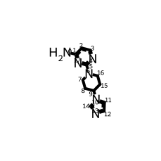 Nc1ccnc(N2CCC(n3ccnc3)CC2)n1